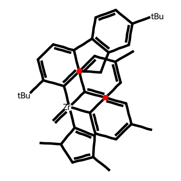 [CH2]=[Zr]([C]1=CC(C)=CC1C)([c]1ccc(C)cc1)([c]1ccc(C)cc1)[c]1c(C(C)(C)C)ccc2c1Cc1cc(C(C)(C)C)ccc1-2